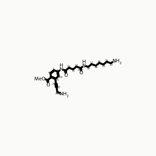 COC(=O)c1ccc(NC(=O)CCCC(=O)NCCCCCCCN)cc1C#CCN